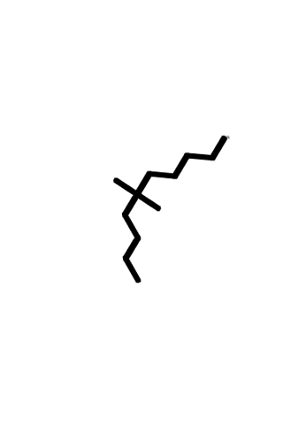 [CH2]CCCCC(C)(C)CCCC